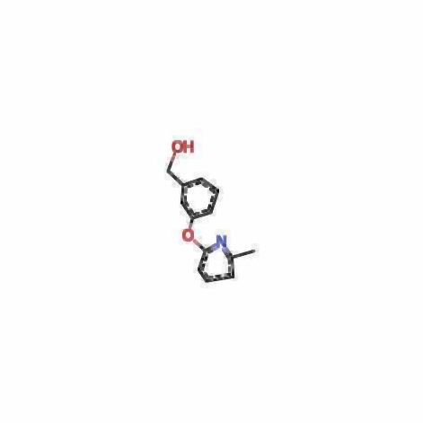 Cc1cccc(Oc2cccc(CO)c2)n1